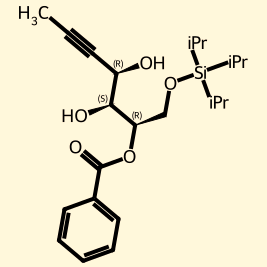 CC#C[C@@H](O)[C@H](O)[C@@H](CO[Si](C(C)C)(C(C)C)C(C)C)OC(=O)c1ccccc1